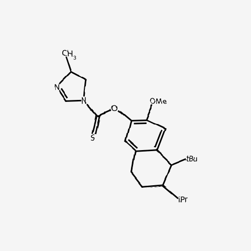 COc1cc2c(cc1OC(=S)N1C=NC(C)C1)CCC(C(C)C)C2C(C)(C)C